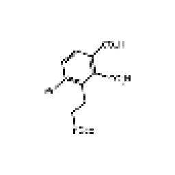 CCCCCCCCCCCCc1c(C(C)C)ccc(C(=O)O)c1C(=O)O